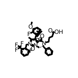 COc1cccc(-c2c(C)n(Cc3c(F)cccc3C(F)(F)F)c(=O)n(C[C@@H](c3ccccc3)N(CCCC(=O)O)C(=O)OC(C)(C)C)c2=O)c1F